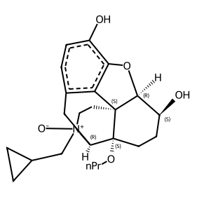 CCCO[C@@]12CC[C@H](O)[C@@H]3Oc4c(O)ccc5c4[C@@]31CC[N+]([O-])(CC1CC1)[C@@H]2C5